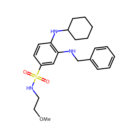 COCCNS(=O)(=O)c1ccc(NC2CCCCC2)c(NCc2ccccc2)c1